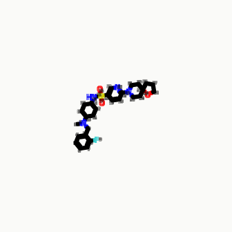 CN(Cc1ccccc1F)C1CCC(NS(=O)(=O)c2ccc(N3CCC4(CCCO4)CC3)nc2)CC1